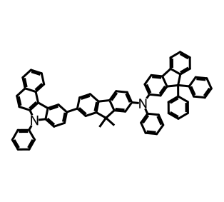 CC1(C)c2cc(-c3ccc4c(c3)c3c5ccccc5ccc3n4-c3ccccc3)ccc2-c2ccc(N(c3ccccc3)c3ccc4c(c3)C(c3ccccc3)(c3ccccc3)c3ccccc3-4)cc21